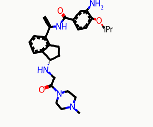 C=C(NC(=O)c1ccc(OC(C)C)c(N)c1)c1cccc2c1CC[C@@H]2NCC(=O)N1CCN(C)CC1